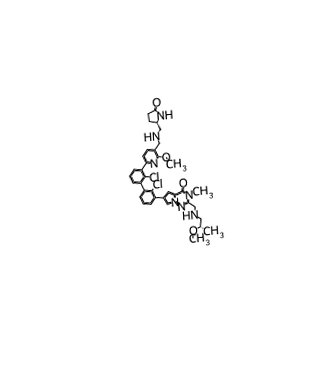 COc1nc(-c2cccc(-c3cccc(-c4cc5c(=O)n(C)c(CNC[C@H](C)OC)nn5c4)c3Cl)c2Cl)ccc1CNC[C@H]1CCC(=O)N1